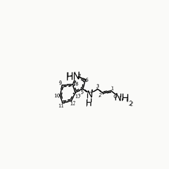 NC=CCNc1c[nH]c2ccccc12